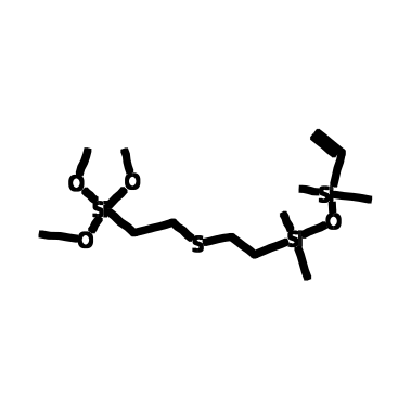 C=C[Si](C)(C)O[Si](C)(C)CCSCC[Si](OC)(OC)OC